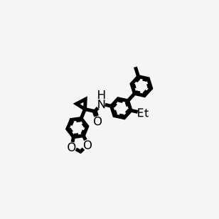 CCc1ccc(NC(=O)C2(c3ccc4c(c3)OCO4)CC2)cc1-c1cccc(C)c1